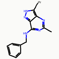 Cc1nc(NCc2ccccc2)c2n[nH]c(C(C)C)c2n1